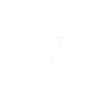 C(=Cc1ccccc1OCc1ccc2ccccc2n1)c1nnn[nH]1.Cl